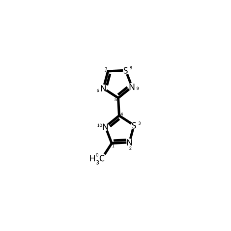 Cc1nsc(-c2n[c]sn2)n1